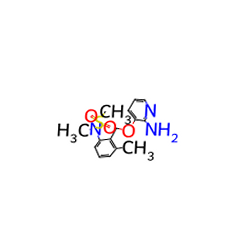 Cc1cccc(N(C)S(C)(=O)=O)c1COc1cccnc1N